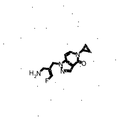 NCC(=CF)Cn1ncc2c(=O)n(C3CC3)ccc21